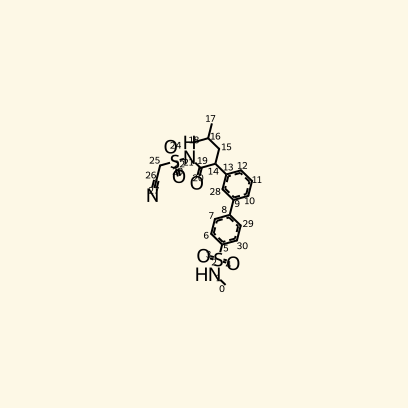 CNS(=O)(=O)c1ccc(-c2cccc(C(CC(C)C)C(=O)NS(=O)(=O)CC#N)c2)cc1